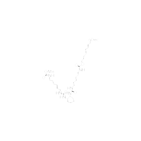 CCCCCCCCCCCCCCCCCCOC(=O)NCCCCCCNC(=O)N[C@H]1CCCC[C@@H]1NC(=O)NCCCCCCNC(=O)OC